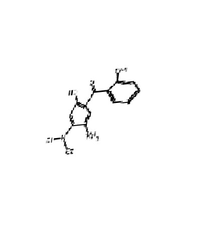 CCN(CC)c1cc(O)c(C(=O)c2ccccc2O)cc1N